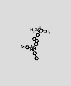 C[C@@H]1C[C@@H]2C[C@H](C)CC(c3ccc(-c4cccc5c4ccc4ccc(-c6nc(-c7ccc(C#N)cc7)nc(-c7ccc(-c8ccccc8)cc7)n6)cc45)cc3)(C1)C2